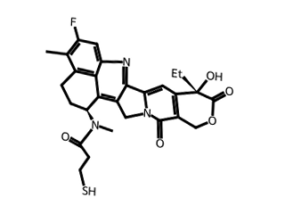 CC[C@@]1(O)C(=O)OCc2c1cc1n(c2=O)Cc2c-1nc1cc(F)c(C)c3c1c2[C@@H](N(C)C(=O)CCS)CC3